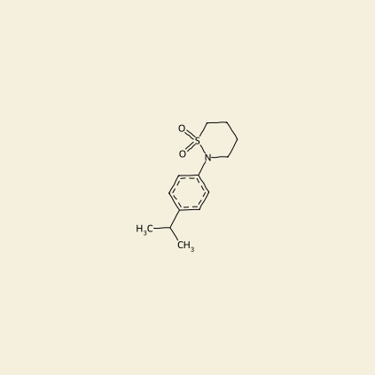 CC(C)c1ccc(N2CCCCS2(=O)=O)cc1